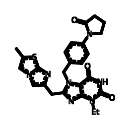 CCn1c(=O)[nH]c(=O)c2c1nc(Cc1cn3cc(C)sc3n1)n2Cc1ccc(N2CCCC2=O)cc1